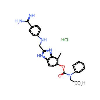 Cc1c(OC(=O)N(CC(=O)O)c2ccccc2)ccc2[nH]c(CNc3ccc(C(=N)N)cc3)nc12.Cl